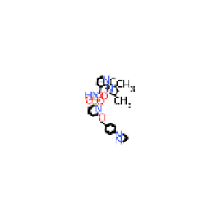 CC1CN(c2ncccc2C(=O)NS(=O)(=O)c2cccc(OCc3ccc(-n4cccn4)cc3)n2)C(C)(C)C1